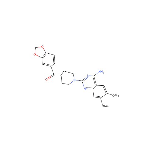 COc1cc2nc(N3CCC(C(=O)c4ccc5c(c4)OCO5)CC3)nc(N)c2cc1OC